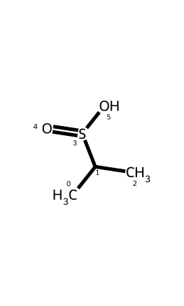 CC(C)S(=O)O